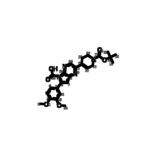 COc1ccc(-c2cc3nc(C4=CCN(C(=O)OC(C)(C)C)CC4)cnc3n2C(=O)O)cc1OC